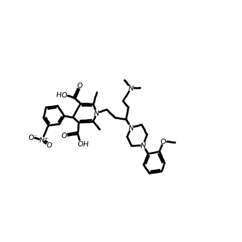 COc1ccccc1N1CCN(C(CCN(C)C)CCN2C(C)=C(C(=O)O)C(c3cccc([N+](=O)[O-])c3)C(C(=O)O)=C2C)CC1